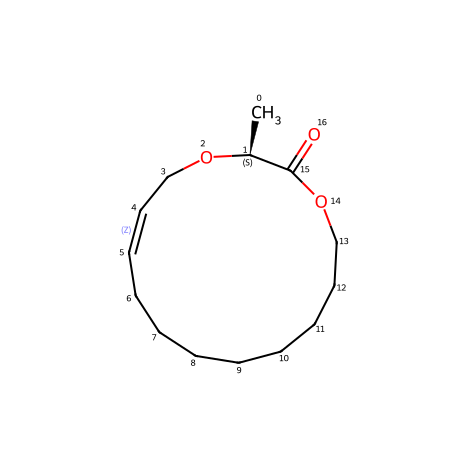 C[C@@H]1OC/C=C\CCCCCCCCOC1=O